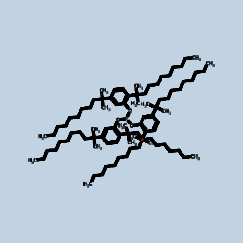 CCCCCCCCCC(C)(C)c1ccc(C(C)(C)CCCCCCCCC)c(OP(Oc2cc(C(C)(C)CCCCCCCCC)ccc2C(C)(C)CCCCCCCCC)Oc2cc(C(C)(C)CCCCCCCCC)ccc2C(C)(C)CCCCCCCCC)c1